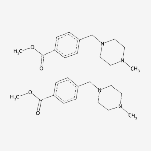 COC(=O)c1ccc(CN2CCN(C)CC2)cc1.COC(=O)c1ccc(CN2CCN(C)CC2)cc1